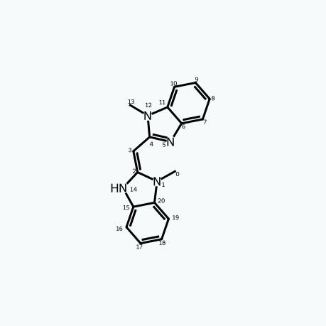 CN1C(=Cc2nc3ccccc3n2C)Nc2ccccc21